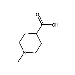 [CH2]N1CCC(C(=O)O)CC1